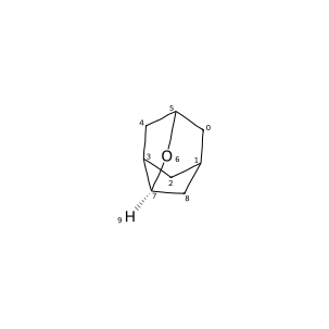 C1C2CC3CC1O[C@H]3C2